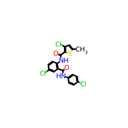 Cc1cc(Cl)c(C(=O)Nc2ccc(Cl)cc2C(=O)Nc2ccc(Cl)cc2)s1